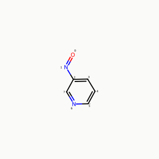 O=Nc1cc[c]nc1